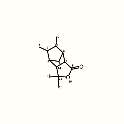 CC1C(C)C2CC1C1C(=O)OC(C)(C)C21